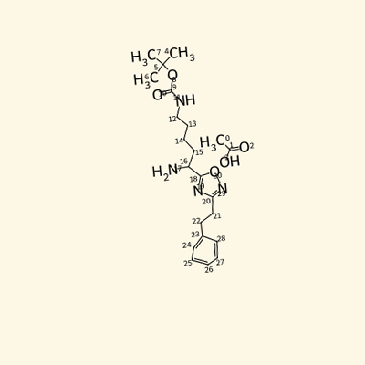 CC(=O)O.CC(C)(C)OC(=O)NCCCCC(N)c1nc(CCc2ccccc2)no1